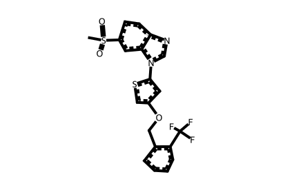 CS(=O)(=O)c1ccc2ncn(-c3cc(OCc4ccccc4C(F)(F)F)cs3)c2c1